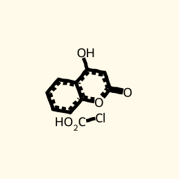 O=C(O)Cl.O=c1cc(O)c2ccccc2o1